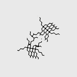 O=S(=O)(O)CC(CCCCC(CCCCF)(CCCCF)C(CCCCF)(CCCCF)C(CCCCF)(CCCCF)C(CCCCF)(CCCCF)CCCCF)C(O)(CCO)C(CCCCCC(CCCCF)(CCCCF)C(CCCCF)(CCCCF)C(CCCCF)(CCCCF)C(CCCCF)(CCCCF)CCCCF)S(=O)(=O)O